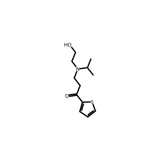 CC(C)N(CCO)CCC(=O)c1cccs1